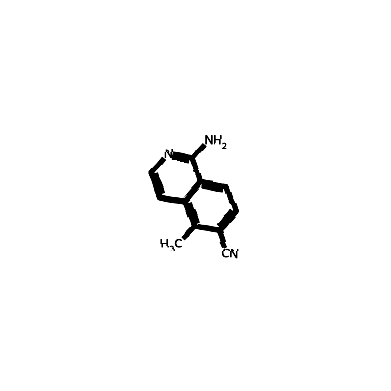 Cc1c(C#N)ccc2c(N)nccc12